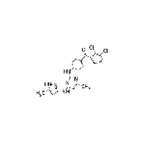 Cc1cc(Nc2cc(C)[nH]n2)nc(NC2CCN(C(=O)c3cccc(Cl)c3Cl)CC2)n1